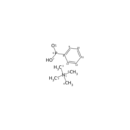 C[N+](C)(C)C.[O-]P(O)c1ccccc1